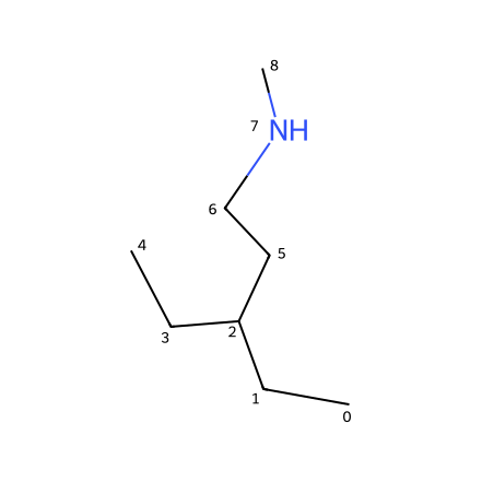 CCC(CC)CCNC